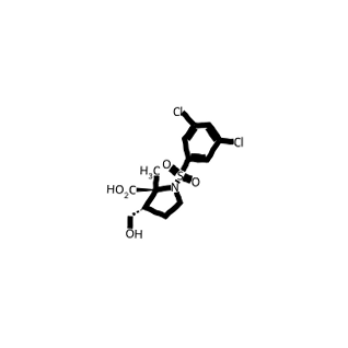 C[C@@]1(C(=O)O)[C@@H](CO)CCN1S(=O)(=O)c1cc(Cl)cc(Cl)c1